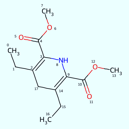 CCC1=C(C(=O)OC)NC(C(=O)OC)=C(CC)C1